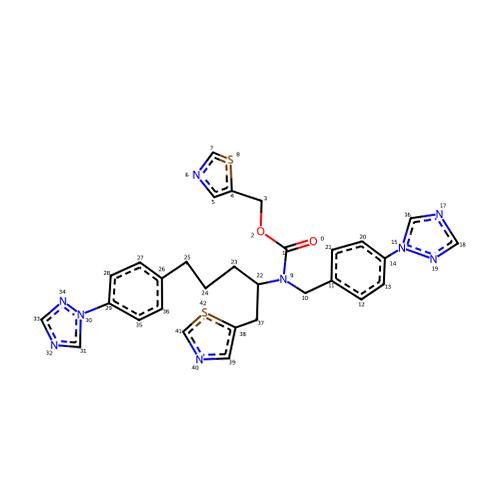 O=C(OCc1cncs1)N(Cc1ccc(-n2cncn2)cc1)C(CC[CH]c1ccc(-n2cncn2)cc1)Cc1cncs1